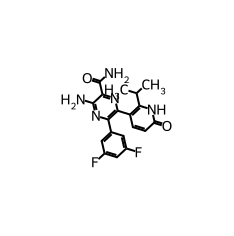 CC(C)c1[nH]c(=O)ccc1-c1nc(C(N)=O)c(N)nc1-c1cc(F)cc(F)c1